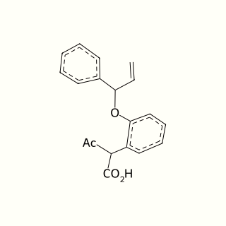 C=CC(Oc1ccccc1C(C(C)=O)C(=O)O)c1ccccc1